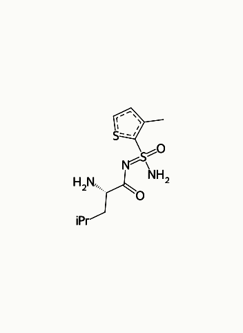 Cc1ccsc1S(N)(=O)=NC(=O)[C@@H](N)CC(C)C